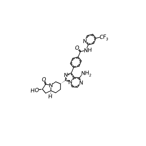 Nc1nccn2c([C@@H]3CC[C@H]4C[C@@H](O)C(=O)N4C3)nc(-c3ccc(C(=O)Nc4cc(C(F)(F)F)ccn4)cc3)c12